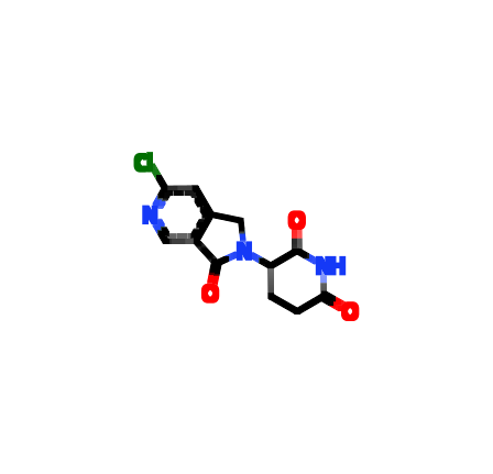 O=C1CCC(N2Cc3cc(Cl)ncc3C2=O)C(=O)N1